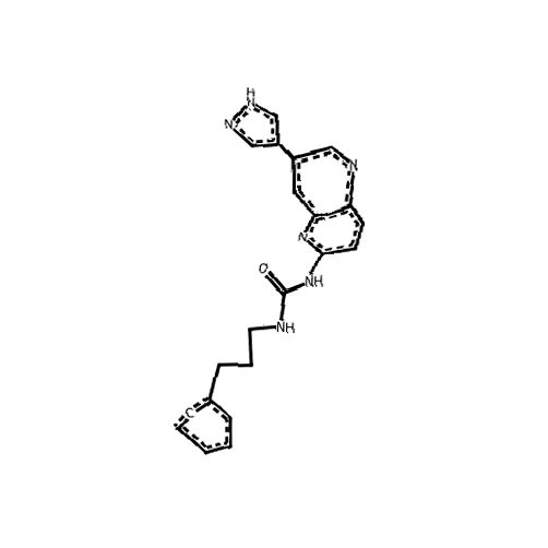 O=C(NCCCc1ccccc1)Nc1ccc2ncc(-c3cn[nH]c3)cc2n1